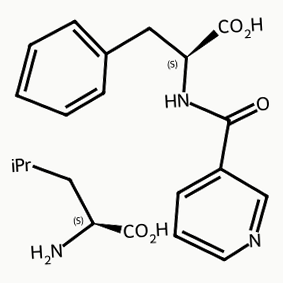 CC(C)C[C@H](N)C(=O)O.O=C(N[C@@H](Cc1ccccc1)C(=O)O)c1cccnc1